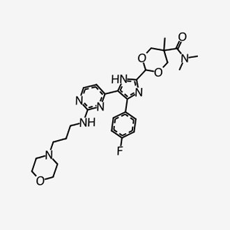 CN(C)C(=O)C1(C)COC(c2nc(-c3ccc(F)cc3)c(-c3ccnc(NCCCN4CCOCC4)n3)[nH]2)OC1